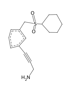 NCC#Cc1cccc(CS(=O)(=O)C2CCCCC2)c1